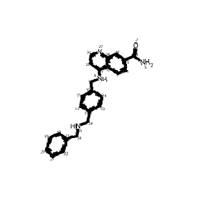 NC(=O)c1ccc2c(NCc3ccc(CNCc4ccccc4)cc3)ccnc2c1